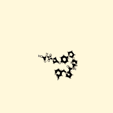 O=C(O)NS(=O)(=O)N1CC(Oc2ccc(N3CCC[C@@H]3c3csc(NC(=O)c4cccn4Cc4ccnc(F)c4)n3)cc2)C1